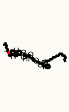 CC/C=C\C/C=C\CCCCCCCCOCC(CN1CCCCC1)OCCOCCNC(=O)CCC(=O)O[C@H]1CC[C@@]2(C)C(=CC[C@H]3[C@@H]4CC[C@H]([C@H](C)CCCC(C)C)[C@@]4(C)CC[C@@H]32)C1